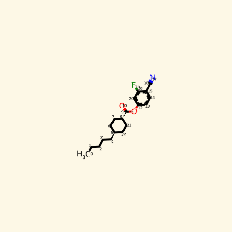 CCCCC[C@H]1CC[C@H](C(=O)Oc2ccc(C#N)c(F)c2)CC1